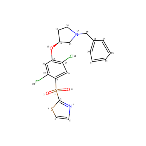 O=S(=O)(c1n[c]cs1)c1cc(Cl)c(O[C@H]2CCN(Cc3ccccc3)C2)cc1F